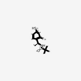 C[C@H](N[S@@+]([O-])C(C)(C)C)c1ccc(S)cc1F